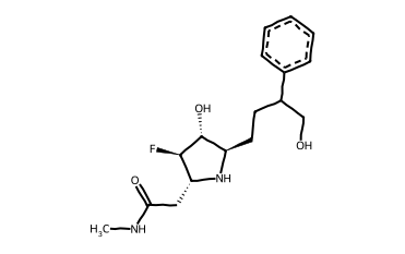 CNC(=O)C[C@H]1N[C@H](CCC(CO)c2ccccc2)[C@@H](O)[C@@H]1F